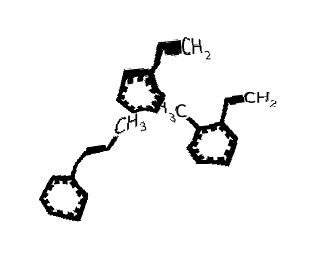 C=Cc1ccccc1.C=Cc1ccccc1C.CC=Cc1ccccc1